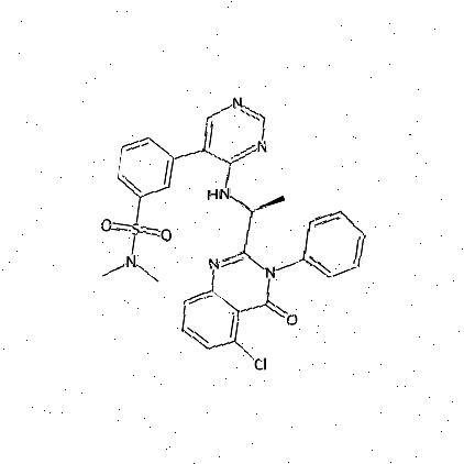 C[C@H](Nc1ncncc1-c1cccc(S(=O)(=O)N(C)C)c1)c1nc2cccc(Cl)c2c(=O)n1-c1ccccc1